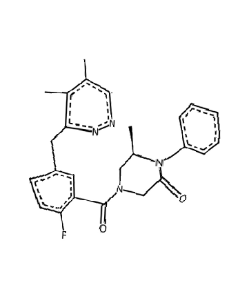 Cc1[c]nnc(Cc2ccc(F)c(C(=O)N3CC(=O)N(c4ccccc4)[C@H](C)C3)c2)c1C